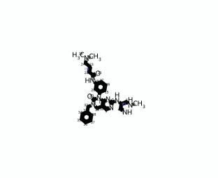 CN/C=C(\C=N)Nc1ncc2c(n1)N(c1cccc(NC(=O)/C=C/CN(C)C)c1)C(=O)N(Cc1ccccc1)C2